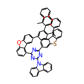 Cc1ccccc1-c1cc(-c2ccc3oc4cccc(-c5nc(-c6ccc7c(c6)sc6ccccc67)nc(-n6c7ccccc7c7ccccc76)n5)c4c3c2)ccc1C(C)c1cccc(-c2ccccc2)c1